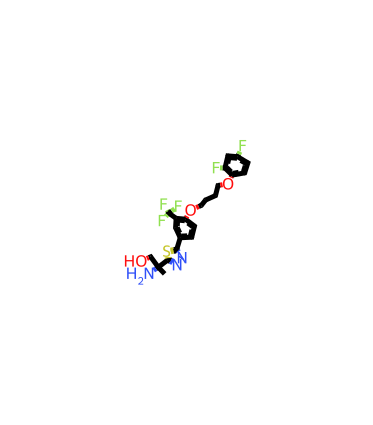 CC(N)(CO)c1nnc(-c2ccc(OCCCCOc3ccc(F)cc3F)c(C(F)(F)F)c2)s1